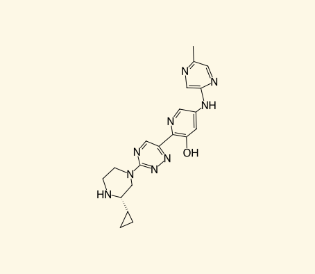 Cc1cnc(Nc2cnc(-c3cnc(N4CCN[C@@H](C5CC5)C4)nn3)c(O)c2)cn1